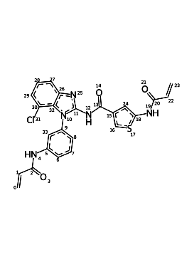 C=CC(=O)Nc1cccc(-n2c(NC(=O)c3csc(NC(=O)C=C)c3)nc3cccc(Cl)c32)c1